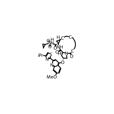 COc1ccc2c(O[C@@H]3C[C@H]4C(=O)N[C@]5(C(=O)NS(=O)(=O)C6CC6)C[C@H]5CCCCCCCCC(=O)N4C3)cc(-c3nc(C(C)C)cs3)nc2c1